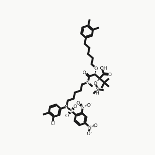 Cc1ccc(CCCCCO[C@@H](C(=O)N(C)CCCCCN(c2ccc(C)c(Cl)c2)S(=O)(=O)c2ccc([N+](=O)[O-])cc2[N+](=O)[O-])[C@@](O[SiH](C)C)(C(=O)O)C(C)(C)C)cc1C